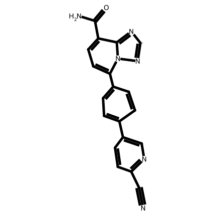 N#Cc1ccc(-c2ccc(-c3ccc(C(N)=O)c4n[c]nn34)cc2)cn1